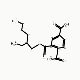 CCCCC(CC)COC(=O)c1cc(C(=O)O)ccc1C(=O)O